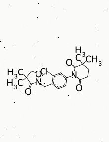 CC1(C)CON(Cc2ccc(N3C(=O)CCC(C)(C)C3=O)cc2Cl)C1=O